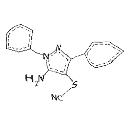 N#CSc1c(-c2ccccc2)nn(-c2ccccc2)c1N